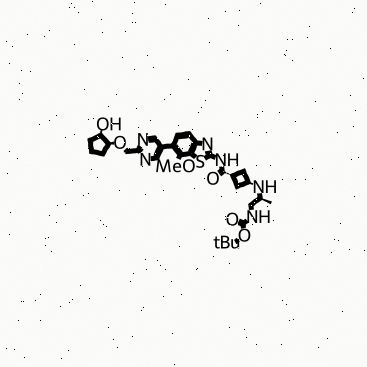 COc1c(-c2cnc(CO[C@H]3CCC[C@@H]3O)nc2)ccc2nc(NC(=O)[C@H]3C[C@@H](N[C@@H](C)CNC(=O)OC(C)(C)C)C3)sc12